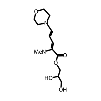 CN/C(=C\C=C\N1CCOCC1)C(=O)OCC(O)CO